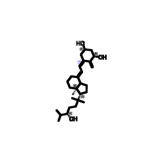 C=C1/C(=C\C=C2CCC[C@@]3(C)C2CC[C@@H]3C(C)(C)CC[C@H](O)C(C)C)C[C@@H](O)C[C@H]1O